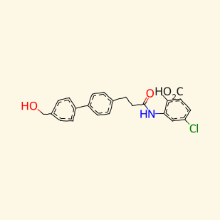 O=C(CCc1ccc(-c2ccc(CO)cc2)cc1)Nc1cc(Cl)ccc1C(=O)O